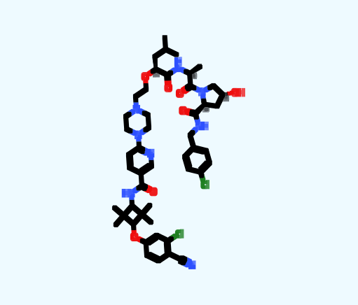 CC(C)C[C@H](OCCN1CCN(c2ccc(C(=O)NC3C(C)(C)C(Oc4ccc(C#N)c(Cl)c4)C3(C)C)cn2)CC1)C(=O)N[C@@H](C)C(=O)N1C[C@H](O)C[C@H]1C(=O)NCc1ccc(Cl)cc1